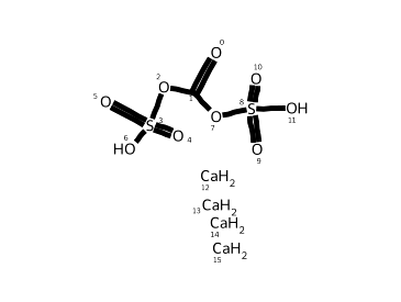 O=C(OS(=O)(=O)O)OS(=O)(=O)O.[CaH2].[CaH2].[CaH2].[CaH2]